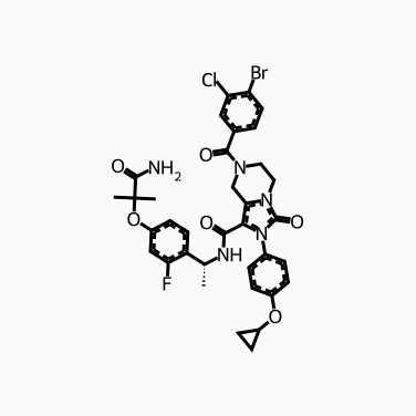 C[C@@H](NC(=O)c1c2n(c(=O)n1-c1ccc(OC3CC3)cc1)CCN(C(=O)c1ccc(Br)c(Cl)c1)C2)c1ccc(OC(C)(C)C(N)=O)cc1F